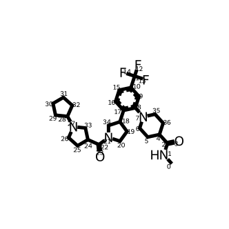 CNC(=O)C1CCN(c2cc(C(F)(F)F)ccc2C2CCN(C(=O)C3CCN(C4CCCC4)C3)C2)CC1